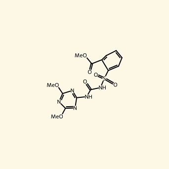 COC(=O)c1ccccc1S(=O)(=O)NC(=O)Nc1nc(OC)nc(OC)n1